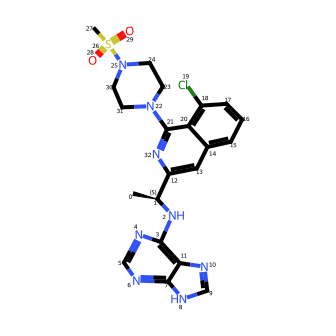 C[C@H](Nc1ncnc2[nH]cnc12)c1cc2cccc(Cl)c2c(N2CCN(S(C)(=O)=O)CC2)n1